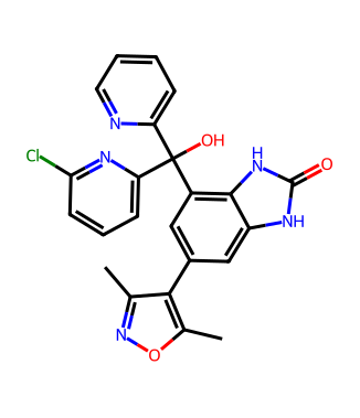 Cc1noc(C)c1-c1cc(C(O)(c2ccccn2)c2cccc(Cl)n2)c2[nH]c(=O)[nH]c2c1